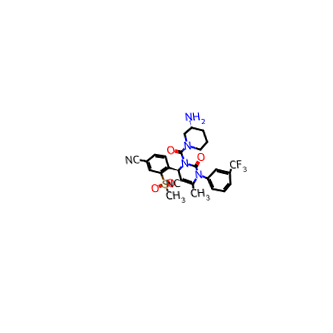 CC1=C(C#N)[C@@H](c2ccc(C#N)cc2S(C)(=O)=O)N(C(=O)N2CCC[C@@H](N)C2)C(=O)N1c1cccc(C(F)(F)F)c1